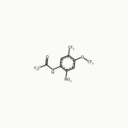 O=C(Nc1cc(C(F)(F)F)c(OC(F)(F)F)cc1[N+](=O)[O-])C(F)(F)F